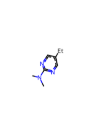 CCc1cnc(N(C)C)nc1